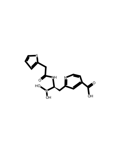 O=C(Cc1cccs1)N[C@@H](Cc1cc(C(=O)O)ccn1)B(O)O